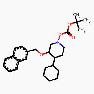 CC(C)(C)OC(=O)ON1CCC(C2CCCCC2)C(OCc2ccc3ccccc3c2)C1